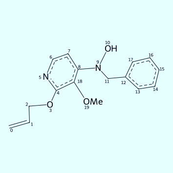 C=CCOc1nccc(N(O)Cc2ccccc2)c1OC